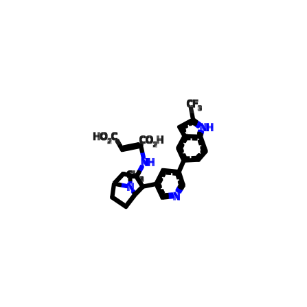 CN1C2CCC1C(c1cncc(-c3ccc4[nH]c(C(F)(F)F)cc4c3)c1)C(N/C(=C/C(=O)O)C(=O)O)C2